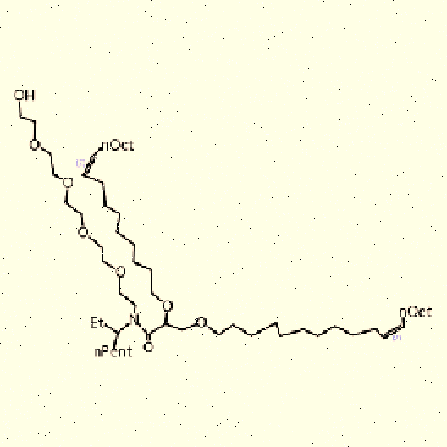 CCCCCCCC/C=C\CCCCCCCCCCOCC(OCCCCCCCC/C=C\CCCCCCCC)C(=O)N(CCOCCOCCOCCOCCO)C(CC)CCCCC